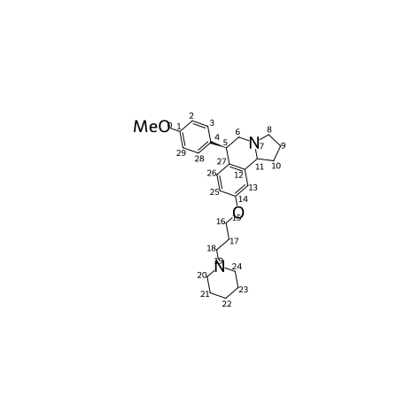 COc1ccc([C@H]2CN3CCCC3c3cc(OCCCN4CCCCC4)ccc32)cc1